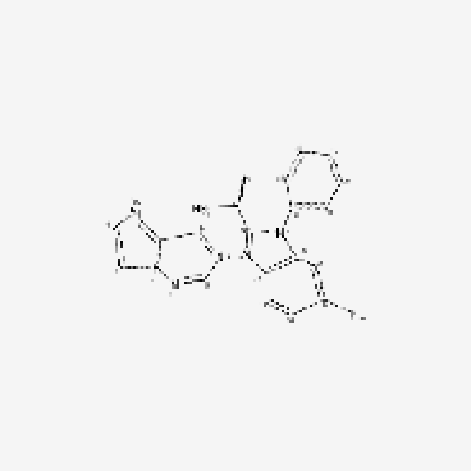 C[C@H](Nc1ncnn2ccnc12)c1nc2ccc(F)cc2n1-c1ccccc1